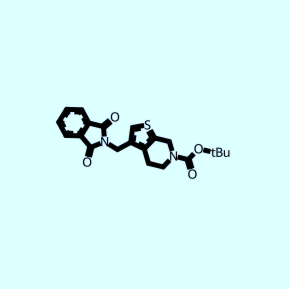 CC(C)(C)OC(=O)N1CCc2c(CN3C(=O)c4ccccc4C3=O)csc2C1